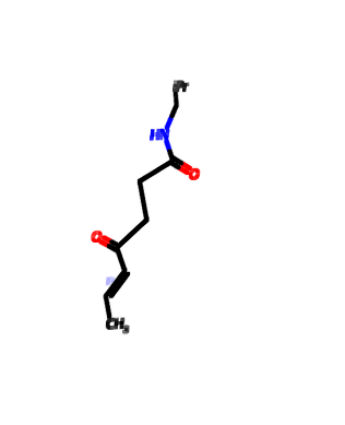 C/C=C/C(=O)CCC(=O)NCC(C)C